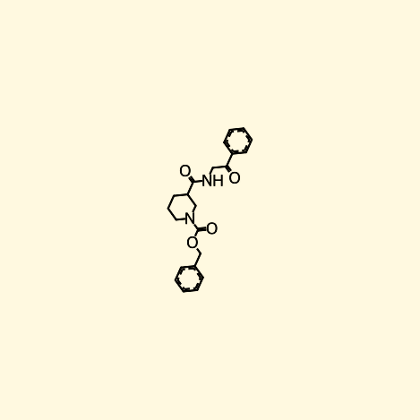 O=C(CNC(=O)C1CCCN(C(=O)OCc2ccccc2)C1)c1ccccc1